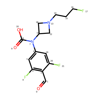 O=Cc1c(F)cc(N(C(=O)O)C2CN(CCCF)C2)cc1F